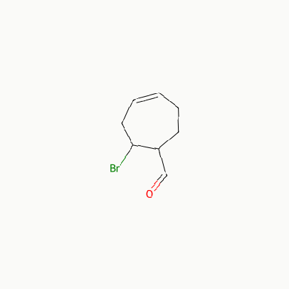 O=CC1CCC=CCC1Br